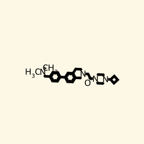 CN(C)Cc1ccc(-c2ccc3c(c2)CCN(CC(=O)N2CCN(C4CCC4)CC2)C3)cc1